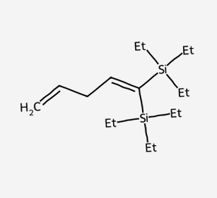 C=CCC=C([Si](CC)(CC)CC)[Si](CC)(CC)CC